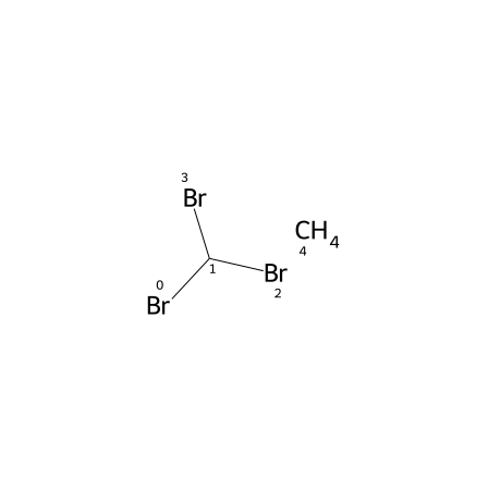 BrC(Br)Br.C